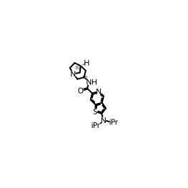 CC(C)N(c1cc2cnc(C(=O)N[C@@H]3C[C@@H]4CCN(C4)C3)cc2s1)C(C)C